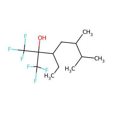 CCC(CC(C)C(C)C)C(O)(C(F)(F)F)C(F)(F)F